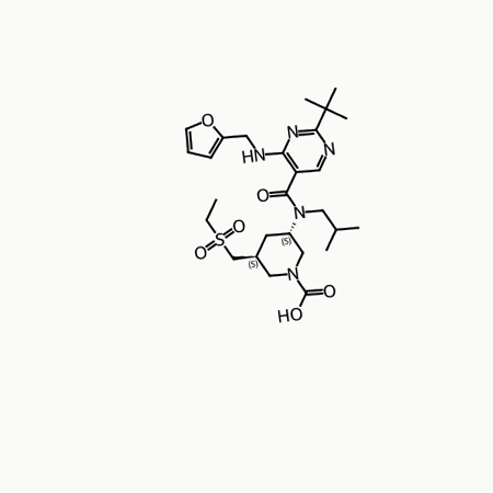 CCS(=O)(=O)C[C@H]1C[C@H](N(CC(C)C)C(=O)c2cnc(C(C)(C)C)nc2NCc2ccco2)CN(C(=O)O)C1